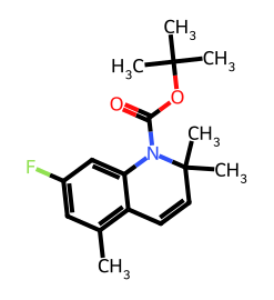 Cc1cc(F)cc2c1C=CC(C)(C)N2C(=O)OC(C)(C)C